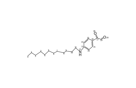 CCCCCCCCCCCCNc1ccc(C(=O)C=O)cc1